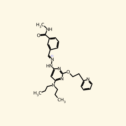 CCCN(CCC)c1cc(N/N=C/c2cccc(C(=O)NC)c2)nc(OCCc2ccccn2)n1